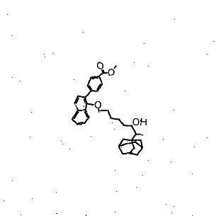 COC(=O)c1ccc(-c2ccc3ccccc3c2OCCCCCC(O)C(C)C23CC4CC(CC(C4)C2)C3)cc1